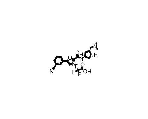 CN(C)C[C@@H]1C[C@@H](NC(=O)c2ncc(-c3cccc(C#N)c3)o2)CN1.O=C(O)C(F)(F)F